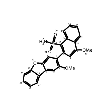 COc1cc2c(cc1-c1cc(OC)c3ccccc3c1S(N)(=O)=O)oc1ccccc12